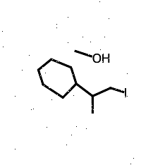 CC(CI)C1CCCCC1.CO